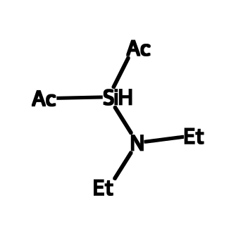 CCN(CC)[SiH](C(C)=O)C(C)=O